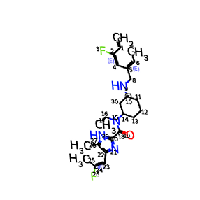 C=C/C(F)=C\C(=C/C)CN[C@@H]1CCCC(N(CC)C(=O)c2nc(/C=C(\C)F)c(C)[nH]2)C1